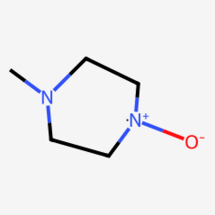 CN1CC[N+]([O-])CC1